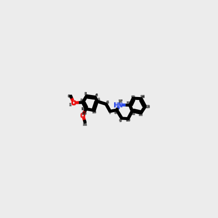 COc1ccc(CCC2CCc3ccccc3N2)cc1OC